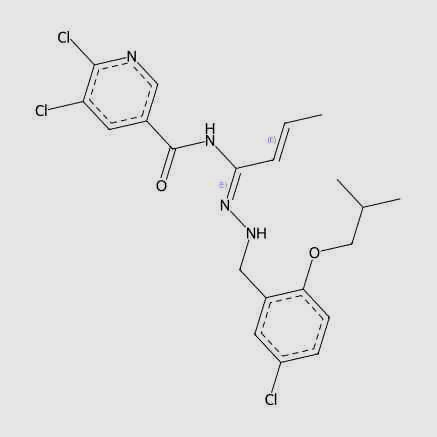 C/C=C/C(=N\NCc1cc(Cl)ccc1OCC(C)C)NC(=O)c1cnc(Cl)c(Cl)c1